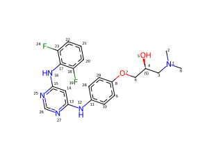 CN(C)C[C@H](O)COc1ccc(Nc2cc(Nc3c(F)cccc3F)ncn2)cc1